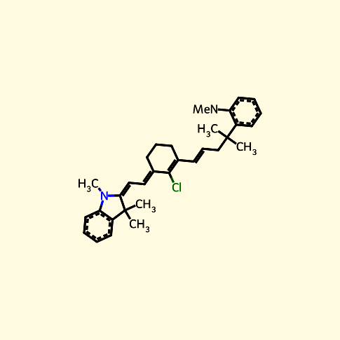 CNc1ccccc1C(C)(C)C/C=C/C1=C(Cl)C(=C/C=C2/N(C)c3ccccc3C2(C)C)/CCC1